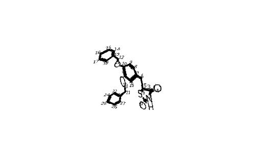 O=C1NC(=O)C(Cc2ccc(OCc3ccccc3)c(OCc3ccccc3)c2)S1